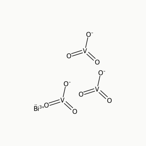 [Bi+3].[O]=[V](=[O])[O-].[O]=[V](=[O])[O-].[O]=[V](=[O])[O-]